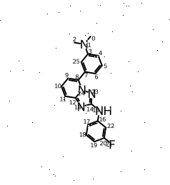 CN(C)c1cccc(-c2cccc3nc(Nc4cccc(F)c4)nn23)c1